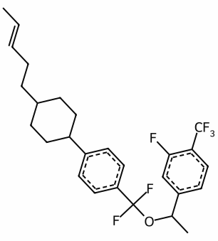 C/C=C/CCC1CCC(c2ccc(C(F)(F)OC(C)c3ccc(C(F)(F)F)c(F)c3)cc2)CC1